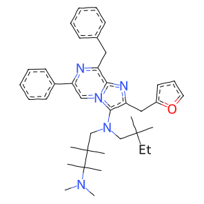 CCC(C)(C)CN(CC(C)(C)C(C)(C)N(C)C)c1c(Cc2ccco2)nc2c(Cc3ccccc3)nc(-c3ccccc3)cn12